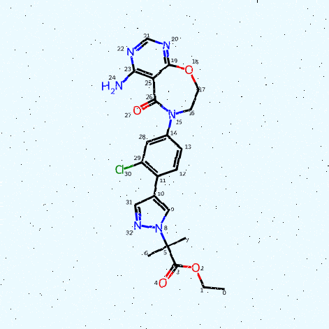 CCOC(=O)C(C)(C)n1cc(-c2ccc(N3CCOc4ncnc(N)c4C3=O)cc2Cl)cn1